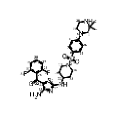 CC1(C)CN(c2ccc(S(=O)(=O)N3CCC(Nc4nc(N)c(C(=O)c5c(F)cccc5F)s4)CC3)cc2)CCN1